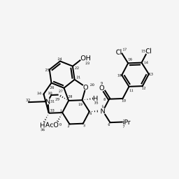 CC(=O)O[C@@]12CC[C@@H](N(CC(C)C)C(=O)Cc3ccc(Cl)c(Cl)c3)[C@@H]3Oc4c(O)ccc5c4[C@@]31CCN(C)[C@@H]2C5